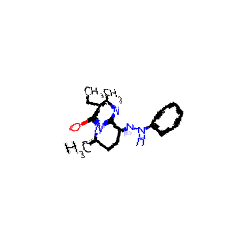 CCc1c(C)nc2n(c1=O)C(C)CC/C2=N\Nc1ccccc1